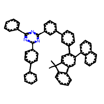 CC1(C)c2ccccc2-c2cc(-c3cccc4ccccc34)c(-c3cccc(-c4cccc(-c5nc(-c6ccccc6)nc(-c6ccc(-c7ccccc7)cc6)n5)c4)c3)cc21